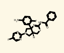 Nc1ccc(F)c(C23CN(c4ncc(F)cn4)C[C@H]2CSC(NC(=O)c2ccccc2)=N3)c1